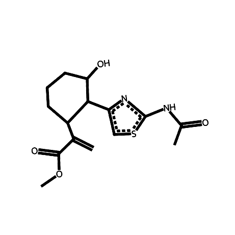 C=C(C(=O)OC)C1CCCC(O)C1c1csc(NC(C)=O)n1